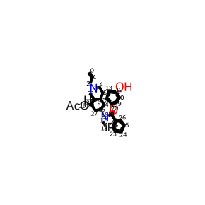 C=CCN1CC[C@@]2(c3cccc(O)c3)C[C@H](N(CC(C)C)C(=O)c3ccccc3)CC(OC(C)=O)[C@@H]2C1